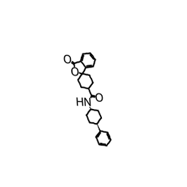 O=C1OC2(CCC(C(=O)N[C@H]3CC[C@H](c4ccccc4)CC3)CC2)c2ccccc21